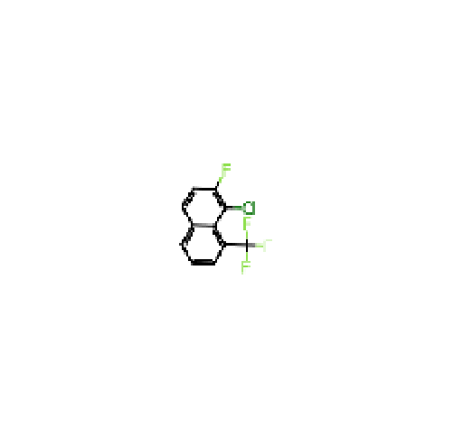 Fc1ccc2cccc(C(F)(F)F)c2c1Cl